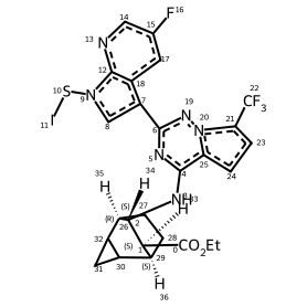 CCOC(=O)[C@@H]1[C@@H](Nc2nc(-c3cn(SI)c4ncc(F)cc34)nn3c(C(F)(F)F)ccc23)[C@@H]2CC[C@H]1C1CC12